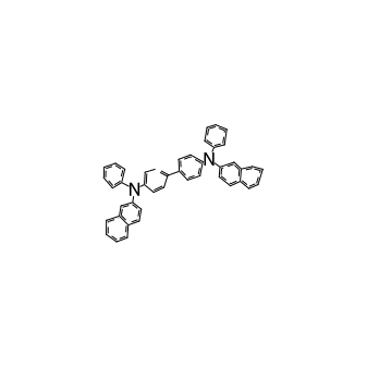 C=C(/C=C\C(=C/C)N(c1ccccc1)c1ccc2ccccc2c1)c1ccc(N(c2ccccc2)c2ccc3ccccc3c2)cc1